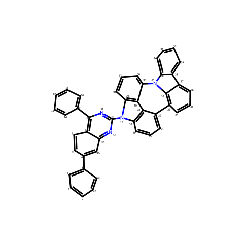 c1ccc(-c2ccc3c(-c4ccccc4)nc(-n4c5cccc6c7cccc8c9ccccc9n(c9cccc4c9c65)c78)nc3c2)cc1